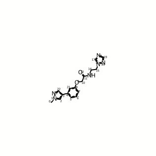 Cn1cc(-c2c[c]cc(OCC(=O)NCCn3cncn3)c2)cn1